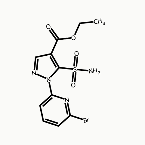 CCOC(=O)c1cnn(-c2cccc(Br)n2)c1S(N)(=O)=O